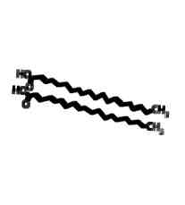 CCC=CCC=CCCCCCCCCCCC=CC(=O)O.CCCCCCCCCCCC=CC=CC=CC=CC(=O)O